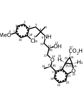 COc1ccc(CC(C)(C)NC[C@@H](O)CO[C@H](C)c2cccc3c2[C@@H]2[C@H](O3)[C@H]2C(=O)O)c(Cl)c1